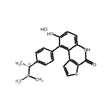 C[C@H](c1ccc(-c2c(O)ccc3[nH]c(=O)c4sccc4c23)cc1)N(C)C.Cl